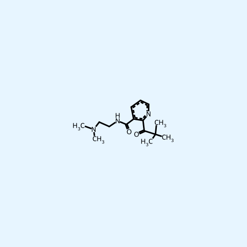 CN(C)CCNC(=O)c1cccnc1C(=O)C(C)(C)C